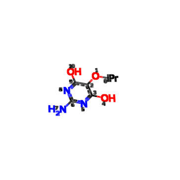 CC(C)Oc1c(O)nc(N)nc1O